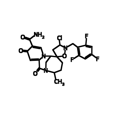 CC1CCC2(CC(Cl)N(Cc3c(F)cc(F)cc3F)O2)C2CN1C(=O)c1cc(=O)c(C(N)=O)cn12